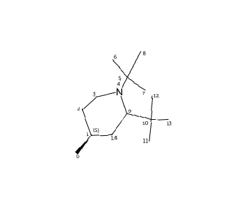 C[C@H]1CCN(C(C)(C)C)C(C(C)(C)C)C1